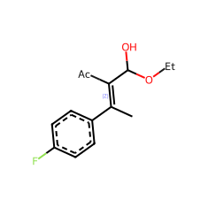 CCOC(O)/C(C(C)=O)=C(\C)c1ccc(F)cc1